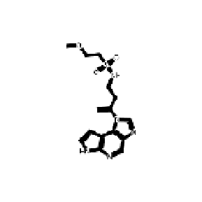 C=C(CCNS(=O)(=O)CCOC)n1cnc2cnc3[nH]ccc3c21